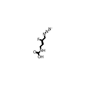 [N-]=[N+]=NC/C(F)=C/CNC(=O)O